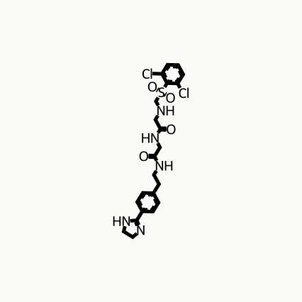 O=C(CNCS(=O)(=O)c1c(Cl)cccc1Cl)NCC(=O)NCCc1ccc(C2=NCCN2)cc1